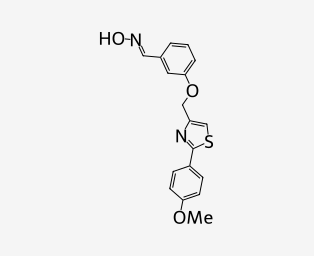 COc1ccc(-c2nc(COc3cccc(C=NO)c3)cs2)cc1